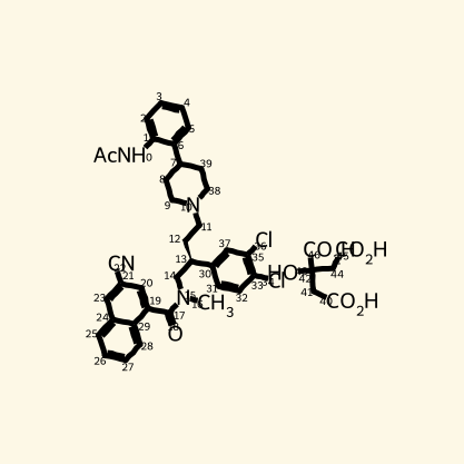 CC(=O)Nc1ccccc1C1CCN(CC[C@H](CN(C)C(=O)c2cc(C#N)cc3ccccc23)c2ccc(Cl)c(Cl)c2)CC1.O=C(O)CC(O)(CC(=O)O)C(=O)O